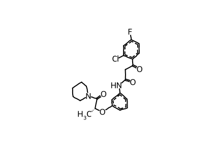 C[C@@H](Oc1cccc(NC(=O)CC(=O)c2ccc(F)cc2Cl)c1)C(=O)N1CCCCC1